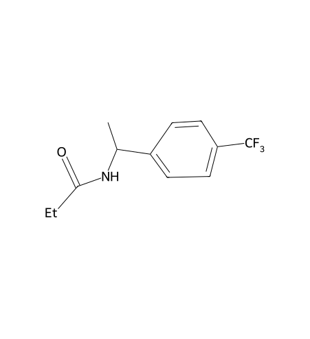 CCC(=O)NC(C)c1ccc(C(F)(F)F)cc1